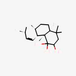 CC(=O)[C@@H](C)/C=C\[C@H]1[C@@H](C)CC[C@H]2C(C)(C)CC(O)C(O)(O)[C@]12C